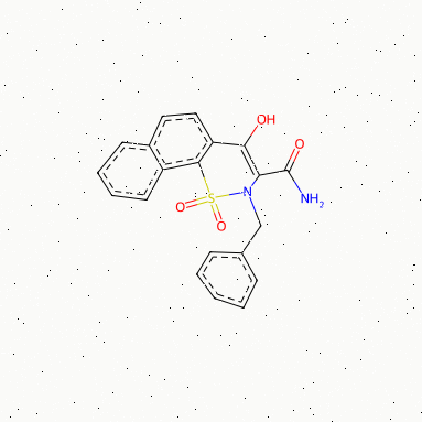 NC(=O)C1=C(O)c2ccc3ccccc3c2S(=O)(=O)N1Cc1ccccc1